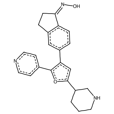 O/N=C1/CCc2cc(-c3cc(C4CCCNC4)oc3-c3ccncc3)ccc21